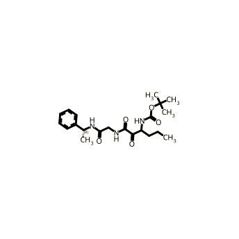 CCCC(NC(=O)OC(C)(C)C)C(=O)C(=O)NCC(=O)N[C@H](C)c1ccccc1